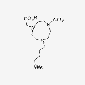 CNCCCCN1CCN(C)CCN(CC(=O)O)CC1